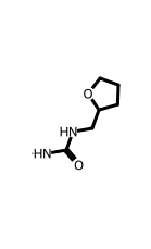 [NH]C(=O)NCC1CCCO1